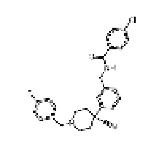 N#CC1(c2cccc(CNC(=O)c3ccc(Cl)cc3)c2)CCN(Cc2ccc(F)cc2)CC1